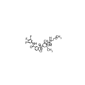 CCC1C[C@@H](S(=O)(=O)c2cc(C(=O)Nc3cc(F)c(F)c(F)c3)ccc2Cl)C[C@H](C)[C@@]1(O)CC(=O)NCCOC